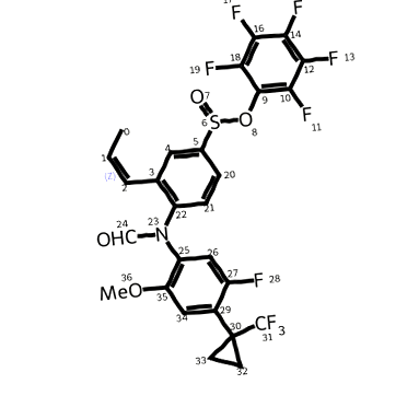 C/C=C\c1cc(S(=O)Oc2c(F)c(F)c(F)c(F)c2F)ccc1N(C=O)c1cc(F)c(C2(C(F)(F)F)CC2)cc1OC